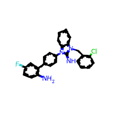 N=c1n(Cc2ccccc2Cl)c2ccccc2n1-c1ccc(-c2cc(F)ccc2N)cc1